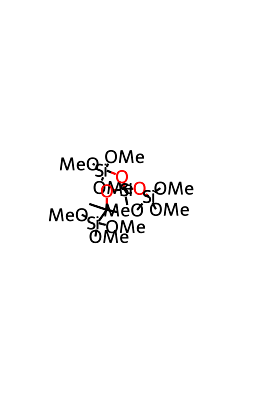 CO[Si](OC)(OC)O[Si](C)(OC(C)(C)[Si](OC)(OC)OC)O[Si](OC)(OC)OC